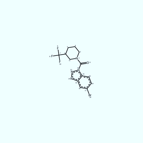 O=C(N1CCCC(C(F)(F)F)C1)n1nnc2cc(Br)ccc21